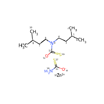 CC(C)CCN(CCC(C)C)C([O-])=S.NC([O-])=S.[Zn+2]